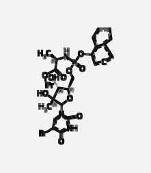 CC(C)OC(=O)[C@@H](C)NP(=O)(OC[C@H]1OC(n2cc(Br)c(=O)[nH]c2=O)[C@](C)(O)[C@@H]1O)Oc1cccc2ccccc12